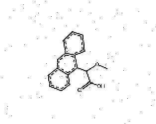 COC(C(=O)O)c1c2ccccc2cc2ccccc12